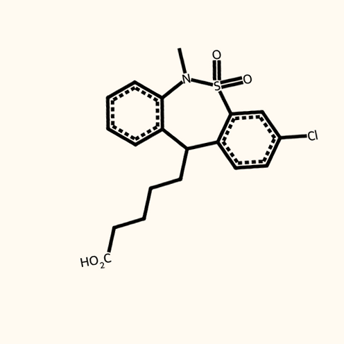 CN1c2ccccc2C(CCCCC(=O)O)c2ccc(Cl)cc2S1(=O)=O